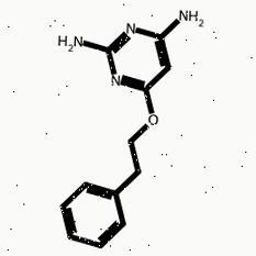 Nc1cc(OCCc2ccccc2)nc(N)n1